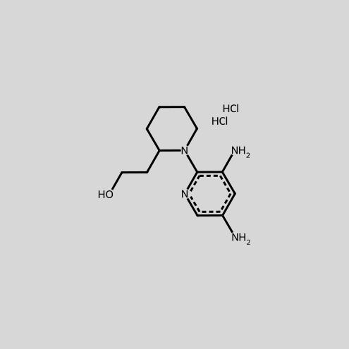 Cl.Cl.Nc1cnc(N2CCCCC2CCO)c(N)c1